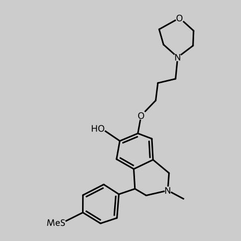 CSc1ccc(C2CN(C)Cc3cc(OCCCN4CCOCC4)c(O)cc32)cc1